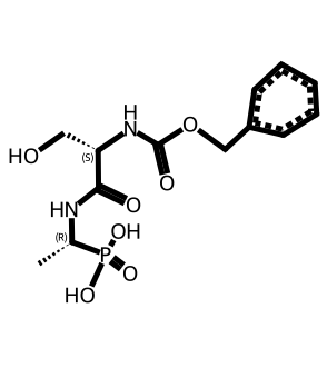 C[C@H](NC(=O)[C@H](CO)NC(=O)OCc1ccccc1)P(=O)(O)O